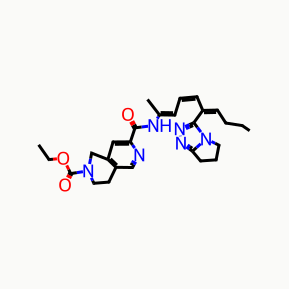 CCC/C=C(/C=C\C=C(/C)NC(=O)c1cc2c(cn1)CCN(C(=O)OCC)C2)c1nnc2n1CCC2